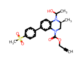 C#CCOC(=O)N1C[C@H](C)N(C(C)O)c2ccc(-c3ccc(S(C)(=O)=O)cc3)cc21